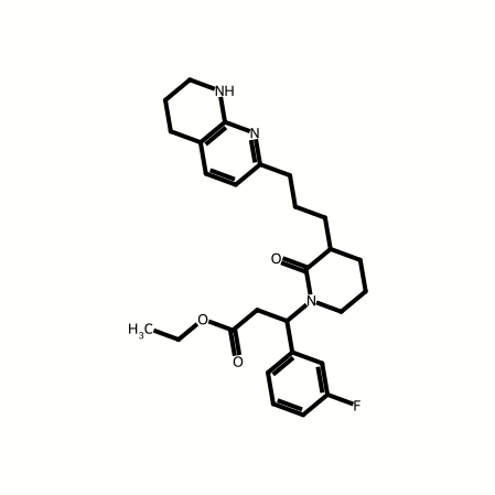 CCOC(=O)CC(c1cccc(F)c1)N1CCCC(CCCc2ccc3c(n2)NCCC3)C1=O